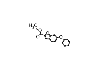 CCOC(=O)c1cc2ccc(Oc3ccccc3)cc2o1